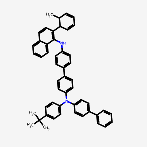 CC1C=CC=CC1c1ccc2ccccc2c1Nc1ccc(-c2ccc(N(c3ccc(-c4ccccc4)cc3)c3ccc(C(C)(C)C)cc3)cc2)cc1